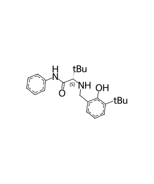 CC(C)(C)c1cccc(CN[C@H](C(=O)Nc2ccccc2)C(C)(C)C)c1O